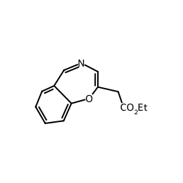 CCOC(=O)CC1=CN=Cc2ccccc2O1